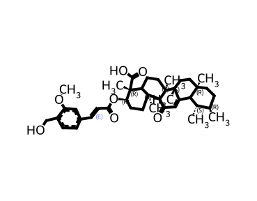 COc1cc(/C=C/C(=O)O[C@@H]2CC[C@@]3(C)C(CC[C@]4(C)C3C(=O)C=C3C5[C@@H](C)[C@H](C)CC[C@]5(C)CC[C@]34C)[C@@]2(C)C(=O)O)ccc1CO